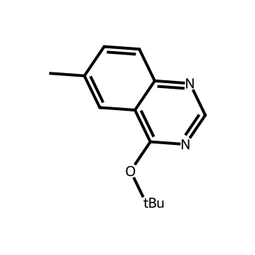 Cc1ccc2ncnc(OC(C)(C)C)c2c1